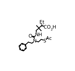 CC[C@H](C(=O)O)C(C)(C)CNC(=O)N(CCSC(C)=O)CCc1ccccc1